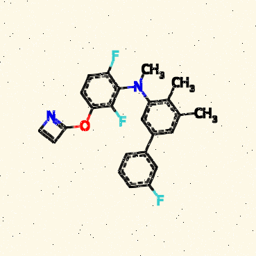 Cc1cc(-c2cccc(F)c2)cc(N(C)c2c(F)ccc(OC3=NC=C3)c2F)c1C